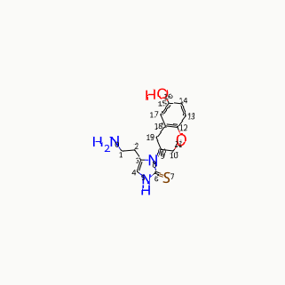 NCCc1c[nH]c(=S)n1[C@H]1COc2ccc(O)cc2C1